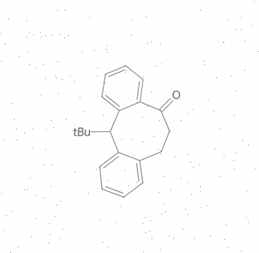 CC(C)(C)C1c2ccccc2CCC(=O)c2ccccc21